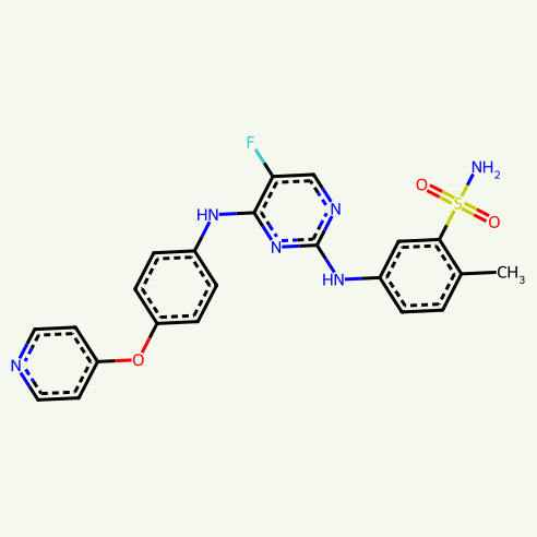 Cc1ccc(Nc2ncc(F)c(Nc3ccc(Oc4ccncc4)cc3)n2)cc1S(N)(=O)=O